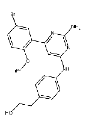 CC(C)Oc1ccc(Br)cc1-c1cc(Nc2ccc(CCO)cc2)nc(N)n1